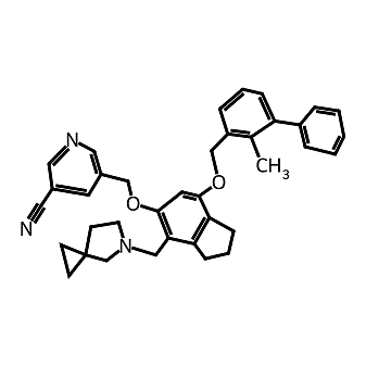 Cc1c(COc2cc(OCc3cncc(C#N)c3)c(CN3CCC4(CC4)C3)c3c2CCC3)cccc1-c1ccccc1